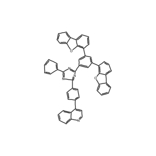 c1ccc(-c2nc(-c3ccc(-c4ccnc5ccccc45)cc3)nc(-c3cc(-c4cccc5c4oc4ccccc45)cc(-c4cccc5c4oc4ccccc45)c3)n2)cc1